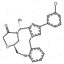 CC(C)[C@H](c1nc(-c2cccc(Cl)c2)cn1Cc1ccccc1)N1C[C@@H](CN)OCC1=O